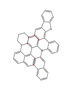 c1ccc(N(c2ccc3ccccc3c2)c2ccccc2-c2cccc3cccc(C4CCCCC4)c23)c(-c2cccc3c2sc2ccccc23)c1